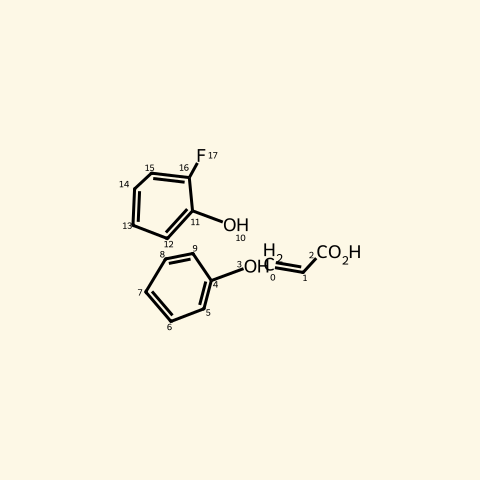 C=CC(=O)O.Oc1ccccc1.Oc1ccccc1F